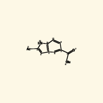 CC(=O)c1cc2cc(C(=O)C(C)(C)C)ccc2[nH]1